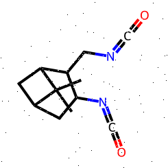 CC1(C)C2CC(N=C=O)C(CN=C=O)C1C2